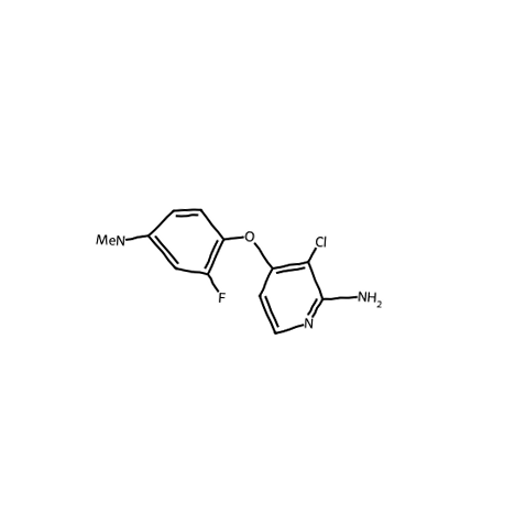 CNc1ccc(Oc2ccnc(N)c2Cl)c(F)c1